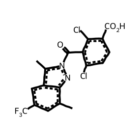 Cc1cc(C(F)(F)F)cc2c(C)n(C(=O)c3c(Cl)ccc(C(=O)O)c3Cl)nc12